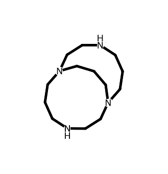 C1CNCCN2CCCNCCN(C1)CCC2